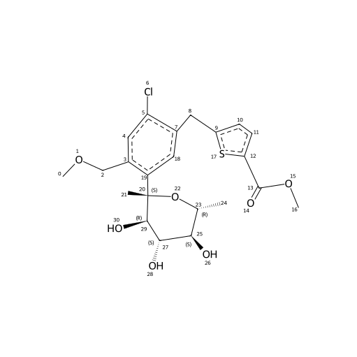 COCc1cc(Cl)c(Cc2ccc(C(=O)OC)s2)cc1[C@]1(C)O[C@H](C)[C@@H](O)[C@H](O)[C@H]1O